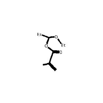 C=C(C)C(=O)OC(CC)OCC